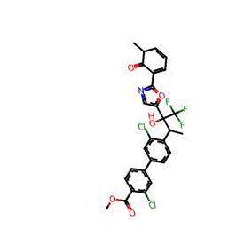 COC(=O)c1ccc(-c2ccc(C(C)C(O)(c3cnc(C4=CC=CC(C)C4=O)o3)C(F)(F)F)c(Cl)c2)cc1Cl